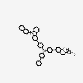 C=C/C=C\c1cc(-c2ccc(N(c3ccc(-c4ccccc4)cc3)c3ccc(-c4ccc5c(c4)C4C=CC=CC4N5c4ccc5ccccc5c4)cc3)cc2)ccc1C